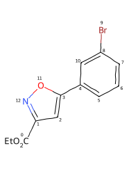 CCOC(=O)c1cc(-c2cccc(Br)c2)on1